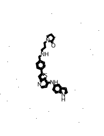 O=C1CCCN1CCCNCc1ccc(-c2cc3nccc(Nc4ccc5[nH]ccc5c4)c3s2)cc1